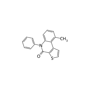 Cc1cccc2c1c1ccsc1c(=O)n2-c1ccccc1